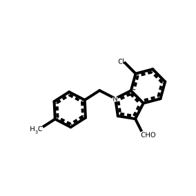 Cc1ccc(Cn2cc(C=O)c3cccc(Cl)c32)cc1